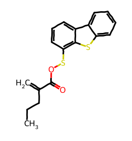 C=C(CCC)C(=O)OSc1cccc2c1sc1ccccc12